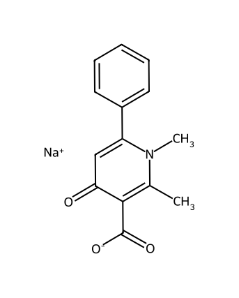 Cc1c(C(=O)[O-])c(=O)cc(-c2ccccc2)n1C.[Na+]